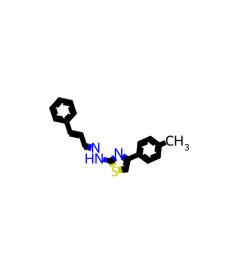 Cc1ccc(-c2csc(NN=CC=Cc3ccccc3)n2)cc1